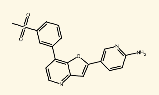 CS(=O)(=O)c1cccc(-c2ccnc3cc(-c4ccc(N)nc4)oc23)c1